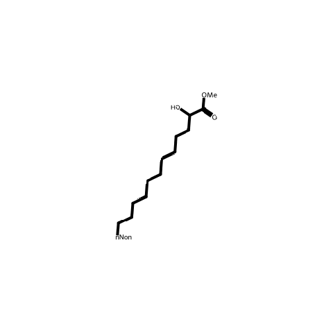 CCCCCCCCCCCCCCCCCCCC(O)C(=O)OC